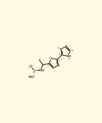 CC(N[S@@+]([O-])C(C)(C)C)c1ccc(-c2ncc[nH]2)s1